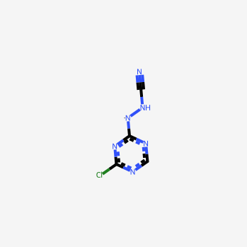 N#CN[N]c1ncnc(Cl)n1